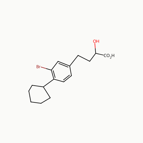 O=C(O)C(O)CCc1ccc(C2CCCCC2)c(Br)c1